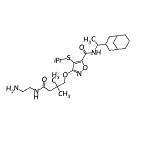 CC(C)Sc1c(OCC(C)(C)CC(=O)NCCN)noc1C(=O)NC(C)C1CC2CCCC(C2)C1